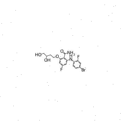 NC(=O)c1c(Nc2ccc(Br)cc2F)cc(F)cc1OCCC(O)CO